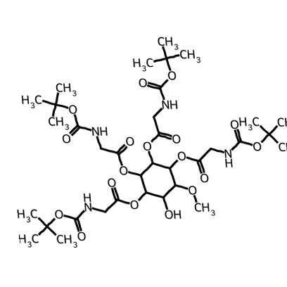 COC1C(O)C(OC(=O)CNC(=O)OC(C)(C)C)C(OC(=O)CNC(=O)OC(C)(C)C)C(OC(=O)CNC(=O)OC(C)(C)C)C1OC(=O)CNC(=O)OC(C)(C)C